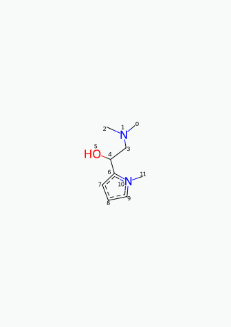 CN(C)CC(O)c1cccn1C